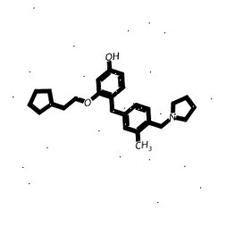 Cc1cc(Cc2[c]cc(O)cc2OCCC2CCCC2)ccc1CN1CCCC1